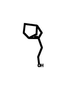 OCCC1=C2CCC(C1)C2